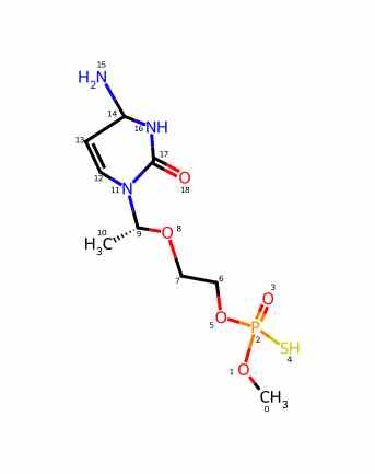 COP(=O)(S)OCCO[C@H](C)N1C=CC(N)NC1=O